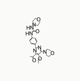 CCOc1c(C(C)=O)nc(-c2ccc(NC(=O)NN3CCOCC3)cc2)nc1N1CCOCC1